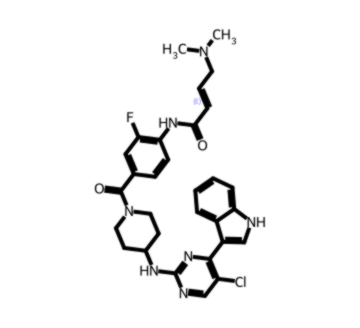 CN(C)C/C=C/C(=O)Nc1ccc(C(=O)N2CCC(Nc3ncc(Cl)c(-c4c[nH]c5ccccc45)n3)CC2)cc1F